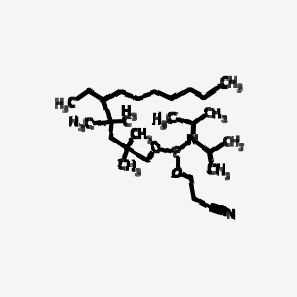 CCCCCCCC(CC)C(C)(C)CC(C)(C)COP(OCCC#N)N(C(C)C)C(C)C